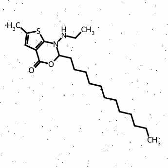 CCCCCCCCCCCCC1OC(=O)c2cc(C)sc2N1NCC